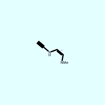 C#CN/C=C\NC